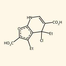 CCc1c(C(=O)O)oc2c1C(Cl)(CC)C(C(=O)O)=CN2